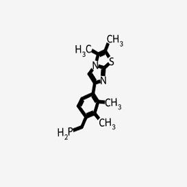 Cc1sc2nc(-c3ccc(CP)c(C)c3C)cn2c1C